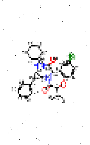 CC(C)C1Oc2ccc(Br)cc2C(C(=O)NC2CCCCC2)N(C2CC2c2ccccc2)C1=O